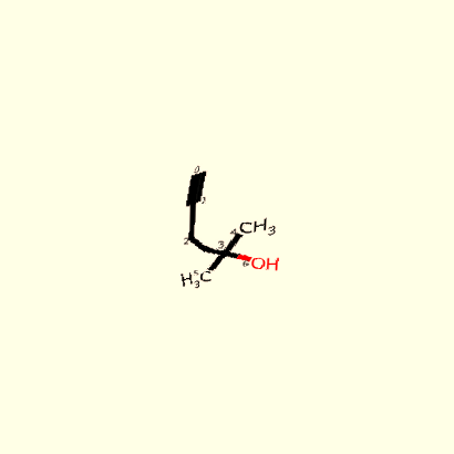 [C]#CCC(C)(C)O